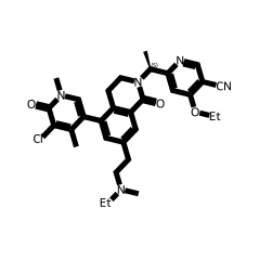 CCOc1cc([C@H](C)N2CCc3c(cc(CCN(C)CC)cc3-c3cn(C)c(=O)c(Cl)c3C)C2=O)ncc1C#N